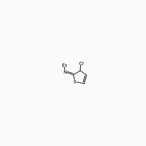 CCN=C1SC=CC1Cl